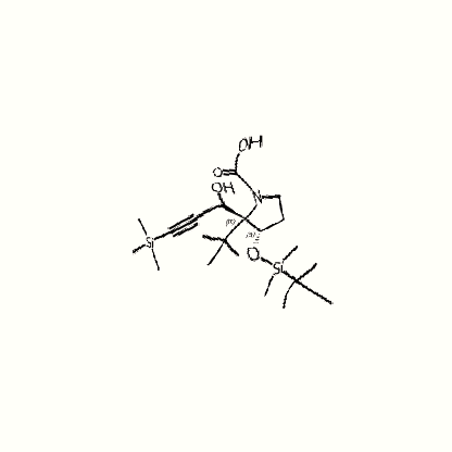 CC(C)(C)[C@@]1(C(O)C#C[Si](C)(C)C)[C@@H](O[Si](C)(C)C(C)(C)C)CCN1C(=O)O